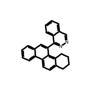 c1ccc2c(-c3cc4ccccc4c4ccc5c(c34)CCCC5)nncc2c1